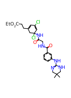 CCOC(=O)CCC1=CC(Cl)=CC(Cl)(NC(=O)CNC(=O)c2cccc(NC3=NCC(C)(C)CN3)c2)C1